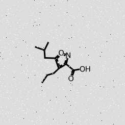 CCCc1c(C(=O)O)noc1CC(C)C